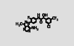 Cc1nn(-c2ccc(NC(=O)C(O)c3cc(Cl)cc(C(F)(F)F)c3)cc2F)c2c(N)ncnc12